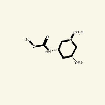 CO[C@@H]1C[C@H](NC(=O)OC(C)(C)C)CN(C(=O)O)C1